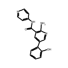 Nc1ncc(-c2ccccc2O)cc1C(=O)Nc1ccncc1